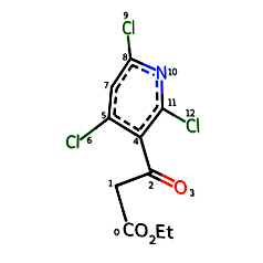 CCOC(=O)CC(=O)c1c(Cl)cc(Cl)nc1Cl